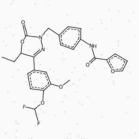 CCC1OC(=O)N(Cc2ccc(NC(=O)c3ccco3)cc2)N=C1c1ccc(OC(F)F)c(OC)c1